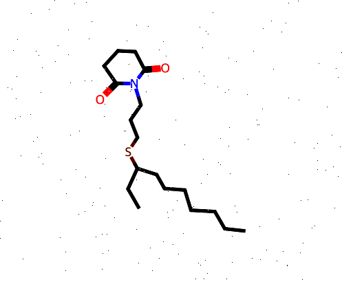 CCCCCCCC(CC)SCCCN1C(=O)CCCC1=O